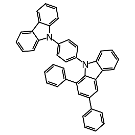 c1ccc(-c2cc(-c3ccccc3)c3c(c2)c2ccccc2n3-c2ccc(-n3c4ccccc4c4ccccc43)cc2)cc1